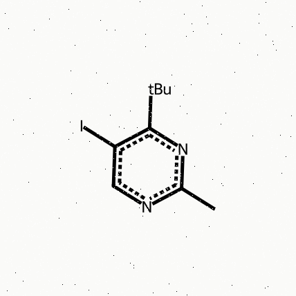 Cc1ncc(I)c(C(C)(C)C)n1